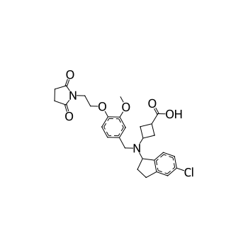 COc1cc(CN(C2CC(C(=O)O)C2)C2CCc3cc(Cl)ccc32)ccc1OCCN1C(=O)CCC1=O